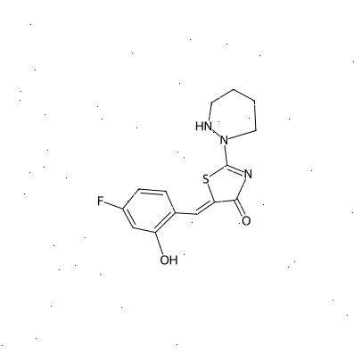 O=C1N=C(N2CCCCN2)SC1=Cc1ccc(F)cc1O